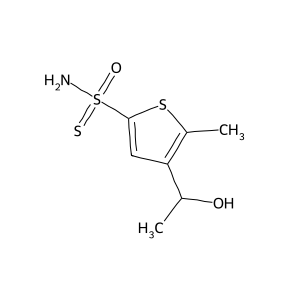 Cc1sc(S(N)(=O)=S)cc1C(C)O